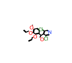 C=CCOc1c(OC)ccc(C(C=O)c2c(Cl)cncc2Cl)c1OCC=C